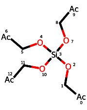 CC(=O)CO[Si](OCC(C)=O)(OCC(C)=O)OCC(C)=O